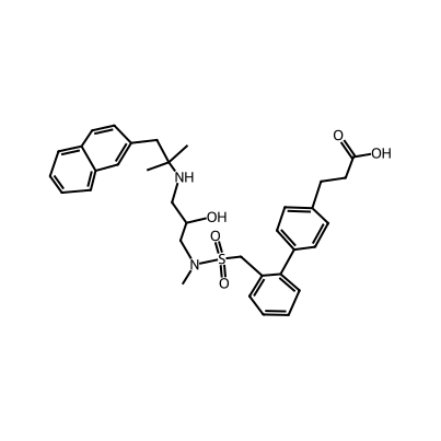 CN(CC(O)CNC(C)(C)Cc1ccc2ccccc2c1)S(=O)(=O)Cc1ccccc1-c1ccc(CCC(=O)O)cc1